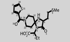 CCC(C(=O)O)N1C(=O)C(CCSC)NC12CCN(C(=O)c1cccs1)CC2